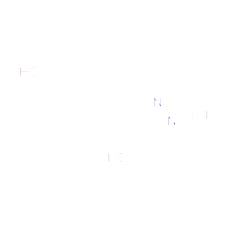 Cc1cn(C)nc1-c1ccc(O)cc1